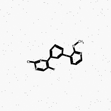 COc1ncccc1-c1cccc(-c2nc(Cl)ncc2F)c1